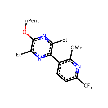 CCCCCOc1nc(CC)c(-c2ccc(C(F)(F)F)nc2OC)nc1CC